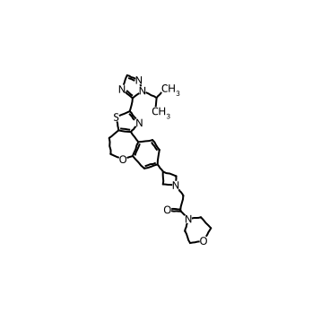 CC(C)n1ncnc1-c1nc2c(s1)CCOc1cc(C3CN(CC(=O)N4CCOCC4)C3)ccc1-2